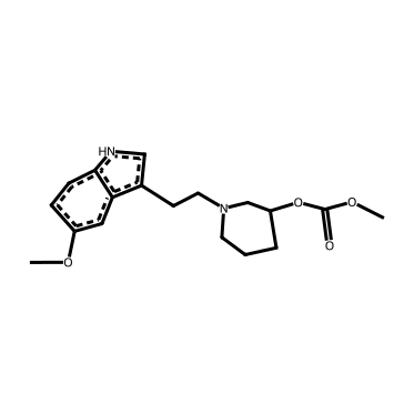 COC(=O)OC1CCCN(CCc2c[nH]c3ccc(OC)cc23)C1